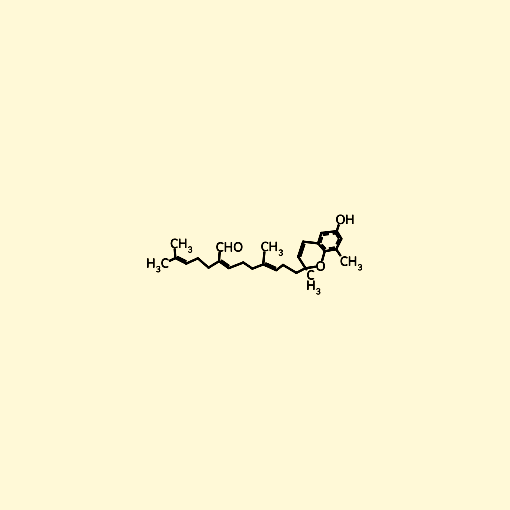 CC(C)=CCC/C(C=O)=C/CC/C(C)=C/CCC1(C)C=Cc2cc(O)cc(C)c2O1